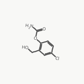 NC(=O)Oc1ccc(Cl)cc1CO